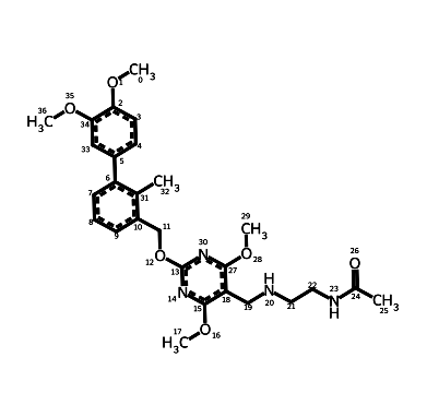 COc1ccc(-c2cccc(COc3nc(OC)c(CNCCNC(C)=O)c(OC)n3)c2C)cc1OC